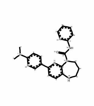 CN(C)c1ccc(-c2ccc3c(n2)N(C(=O)Nc2ccccn2)CCCN3)cn1